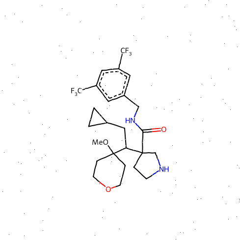 COC1(C(CC2CC2)C2(C(=O)NCc3cc(C(F)(F)F)cc(C(F)(F)F)c3)CCNC2)CCOCC1